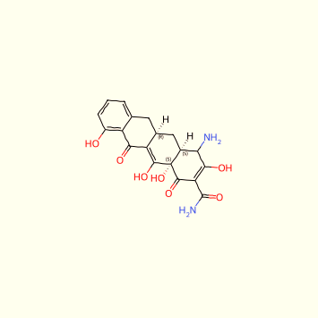 NC(=O)C1=C(O)C(N)[C@@H]2C[C@@H]3Cc4cccc(O)c4C(=O)C3=C(O)[C@]2(O)C1=O